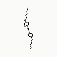 CCCCCCOc1ccc(C#Cc2ccc(CCCCCC)cc2)nc1